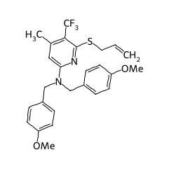 C=CCSc1nc(N(Cc2ccc(OC)cc2)Cc2ccc(OC)cc2)cc(C)c1C(F)(F)F